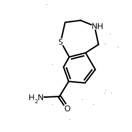 NC(=O)c1ccc2c(c1)SCCNC2